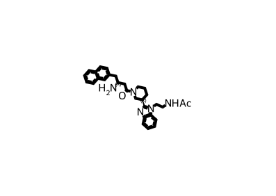 CC(=O)NCCn1c([C@@H]2CCCN(C(=O)C[C@H](N)Cc3ccc4ccccc4c3)C2)nc2ccccc21